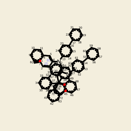 C=C/C=C\C(=C/c1ccccc1)N(c1ccc(-c2ccccc2)cc1)c1cccc2c1Sc1ccccc1C21c2ccccc2-c2cccc(N(c3ccc(-c4ccccc4)cc3)c3ccccc3-c3ccccc3)c21